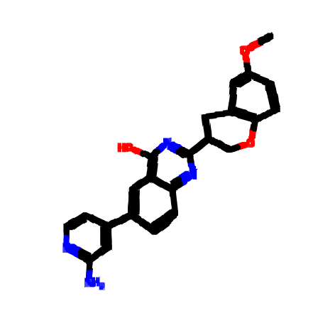 COc1ccc2c(c1)CC(c1nc(O)c3cc(-c4ccnc(N)c4)ccc3n1)CO2